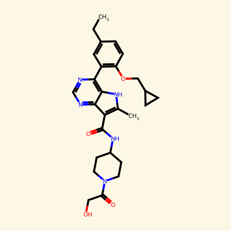 CCc1ccc(OCC2CC2)c(-c2ncnc3c(C(=O)NC4CCN(C(=O)CO)CC4)c(C)[nH]c23)c1